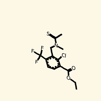 CCOC(=O)c1ccc(C(F)(F)F)c(CN(C)C(C)=S)c1Cl